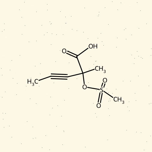 CC#CC(C)(OS(C)(=O)=O)C(=O)O